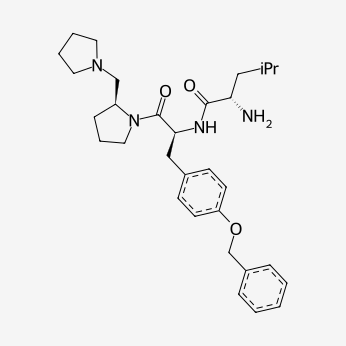 CC(C)C[C@H](N)C(=O)N[C@@H](Cc1ccc(OCc2ccccc2)cc1)C(=O)N1CCC[C@H]1CN1CCCC1